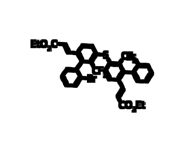 CCOC(=O)/C=C/c1ccc(Sc2ccc(/C=C/C(=O)OCC)c(-c3ccccc3Br)c2C(F)(F)F)c(C(F)(F)F)c1-c1ccccc1Br